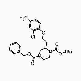 Cc1ccc(OCC[C@@H]2CN(C(=O)OCc3ccccc3)CCN2C(=O)OC(C)(C)C)c(Cl)c1